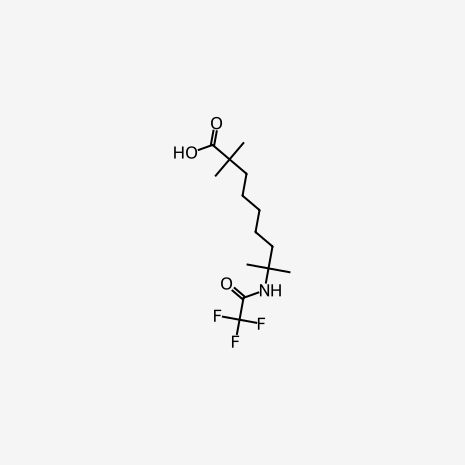 CC(C)(CCCCCC(C)(C)C(=O)O)NC(=O)C(F)(F)F